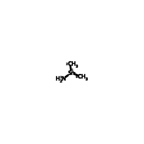 [CH3][Sn]([CH3])[NH2]